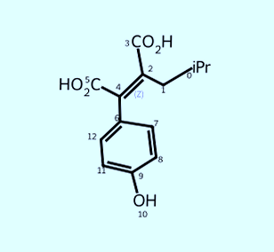 CC(C)C/C(C(=O)O)=C(/C(=O)O)c1ccc(O)cc1